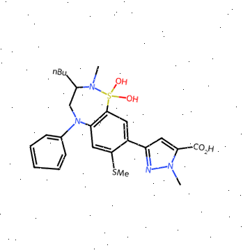 CCCCC1CN(c2ccccc2)c2cc(SC)c(-c3cc(C(=O)O)n(C)n3)cc2S(O)(O)N1C